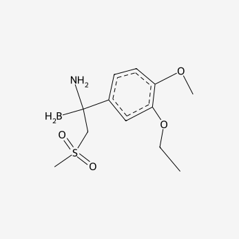 BC(N)(CS(C)(=O)=O)c1ccc(OC)c(OCC)c1